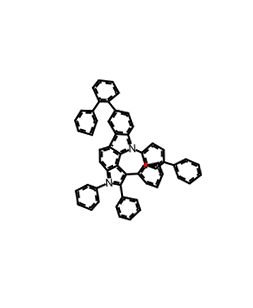 c1ccc(-c2ccc(-n3c4ccc(-c5ccccc5-c5ccccc5)cc4c4ccc5c(c(-c6ccccc6)c(-c6ccccc6)n5-c5ccccc5)c43)cc2)cc1